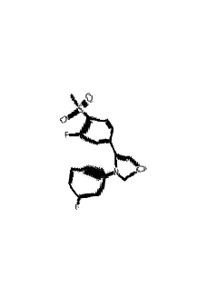 CS(=O)(=O)c1ccc(C2=COCN2c2cccc(F)c2)cc1F